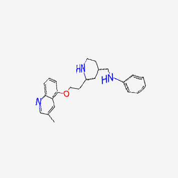 Cc1cnc2cccc(OCCC3CC(CNc4ccccc4)CCN3)c2c1